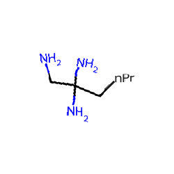 CCCCC(N)(N)CN